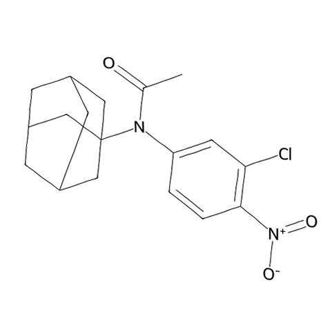 CC(=O)N(c1ccc([N+](=O)[O-])c(Cl)c1)C12CC3CC(CC(C3)C1)C2